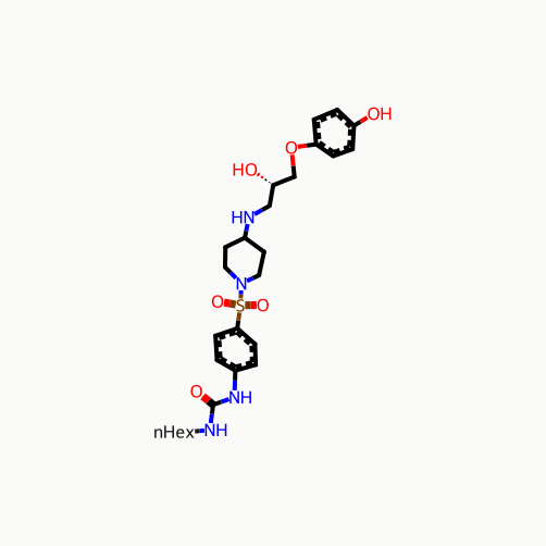 CCCCCCNC(=O)Nc1ccc(S(=O)(=O)N2CCC(NC[C@H](O)COc3ccc(O)cc3)CC2)cc1